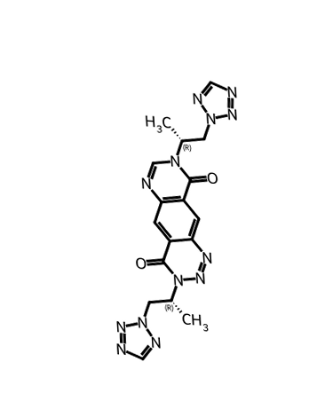 C[C@H](Cn1ncnn1)n1cnc2cc3c(=O)n([C@H](C)Cn4ncnn4)nnc3cc2c1=O